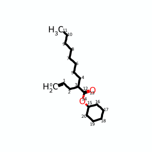 C=CCC(CCCCCCCC)C(=O)OC1CCCCC1